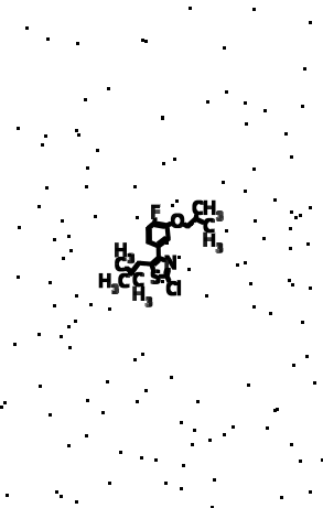 CC(C)COc1cc(-c2nc(Cl)sc2CC(C)(C)C)ccc1F